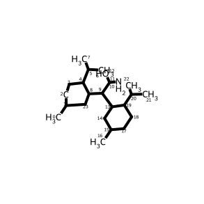 CC1CCC(C(C)C)C(C(C(N)O)C2CC(C)CCC2C(C)C)C1